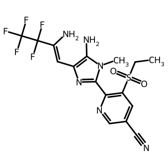 CCS(=O)(=O)c1cc(C#N)cnc1-c1nc(/C=C(\N)C(F)(F)C(F)(F)F)c(N)n1C